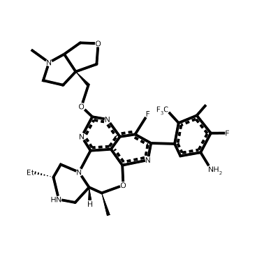 CC[C@@H]1CN2c3nc(OC[C@@]45CCN(C)C4COC5)nc4c(F)c(-c5cc(N)c(F)c(C)c5C(F)(F)F)nc(c34)O[C@@H](C)[C@@H]2CN1